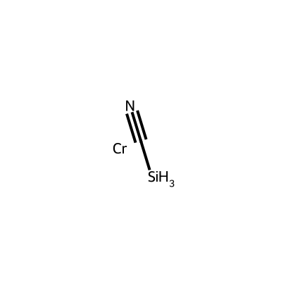 N#C[SiH3].[Cr]